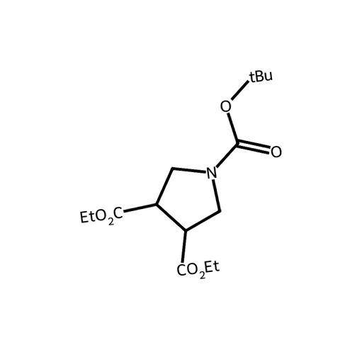 CCOC(=O)C1CN(C(=O)OC(C)(C)C)CC1C(=O)OCC